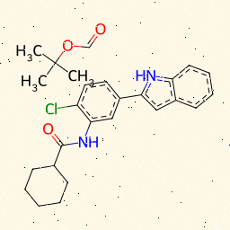 CC(C)(C)OC=O.O=C(Nc1cc(-c2cc3ccccc3[nH]2)ccc1Cl)C1CCCCC1